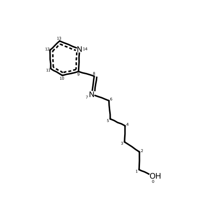 OCCCCCCN=Cc1ccccn1